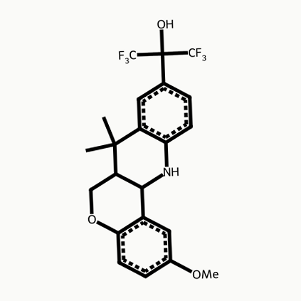 COc1ccc2c(c1)C1Nc3ccc(C(O)(C(F)(F)F)C(F)(F)F)cc3C(C)(C)C1CO2